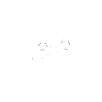 CCCCC(Oc1ccccc1)Oc1ccccc1